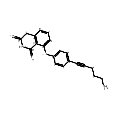 NCCCC#Cc1ccc(Oc2cccc3c2C(=O)NC(=O)C3)cc1